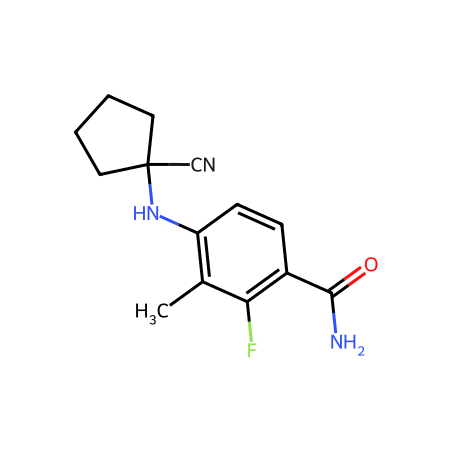 Cc1c(NC2(C#N)CCCC2)ccc(C(N)=O)c1F